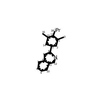 Cc1cc(-c2cc3ccccc3cn2)cc(C)c1C(C)C